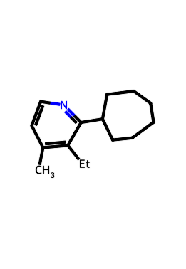 CCc1c(C)ccnc1C1CCCCCC1